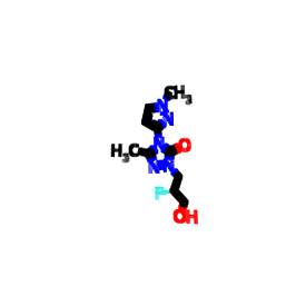 Cc1nn(C[C@@H](F)CO)c(=O)n1-c1ccn(C)n1